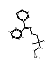 CC(C)(CCN=C(c1ccccc1)c1ccccc1)OCN